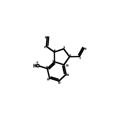 C=CC1CC(C=C)c2c(O)cccc21